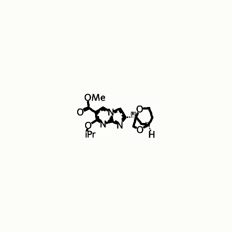 COC(=O)c1cn2cc([C@]34CO[C@H](CCO3)C4)nc2nc1OC(C)C